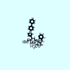 CC(C)(C)OC(=O)[C@H](CC(=O)NN1[C@@H](Cc2ccccc2)COC1(C)C)c1ccn(-c2ccc(-c3ccccc3)cc2)c1